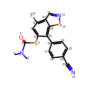 CN(C)C(=O)Sc1cc(F)c2cnsc2c1-c1ccc(C#N)cc1